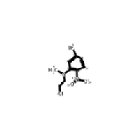 CN(CCCl)c1cc(Br)ccc1[N+](=O)[O-]